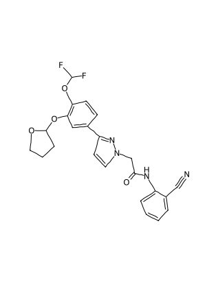 N#Cc1ccccc1NC(=O)Cn1ccc(-c2ccc(OC(F)F)c(OC3CCCO3)c2)n1